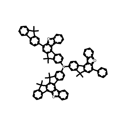 CC1(C)c2ccccc2-c2ccc(-c3cc4c(c5c3oc3ccccc35)-c3ccc(N(c5ccc6c(c5)C(C)(C)c5cc(-c7ccccc7)c7oc8ccccc8c7c5-6)c5ccc6c(c5)C(C)(C)c5c7c(c8oc9ccccc9c8c5-6)-c5ccccc5C7(C)C)cc3C4(C)C)cc21